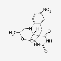 CC1CN2c3ccc([N+](=O)[O-])cc3CC3(C(=O)NC(=O)NC3=O)[C@@H]2CO1